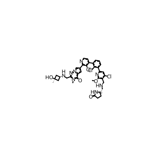 COc1nc(-c2cccc(-c3ccnc(-c4cc5c(=O)n(C)c(CN[C@H]6C[C@](C)(O)C6)nn5c4)c3Cl)c2Cl)cc(Cl)c1CNC[C@@H]1CCC(=O)N1